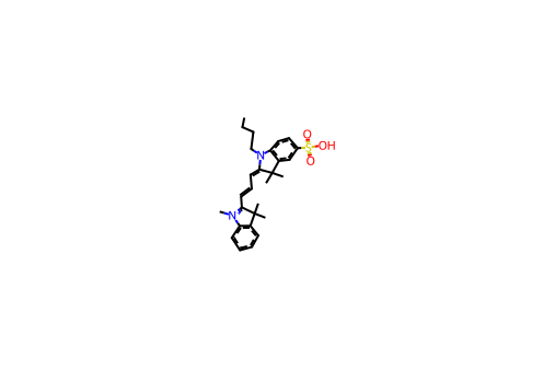 CCCCN1/C(=C/C=C/C2=[N+](C)c3ccccc3C2(C)C)C(C)(C)c2cc(S(=O)(=O)O)ccc21